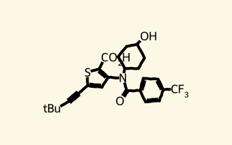 CC(C)(C)C#Cc1cc(N(C(=O)c2ccc(C(F)(F)F)cc2)C2CCC(O)CC2)c(C(=O)O)s1